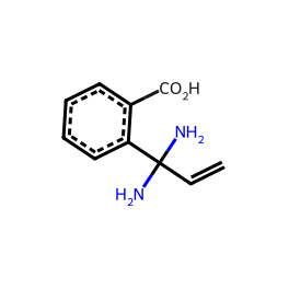 C=CC(N)(N)c1ccccc1C(=O)O